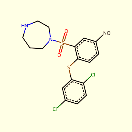 O=Nc1ccc(Sc2cc(Cl)ccc2Cl)c(S(=O)(=O)N2CCCNCC2)c1